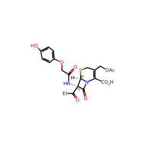 CCC(=O)[C@]1(NC(=O)COc2ccc(O)cc2)C(=O)N2C(C(=O)O)=C(COC(C)=O)CS[C@@H]21